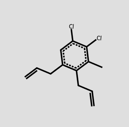 C=CCc1cc(Cl)c(Cl)c(C)c1CC=C